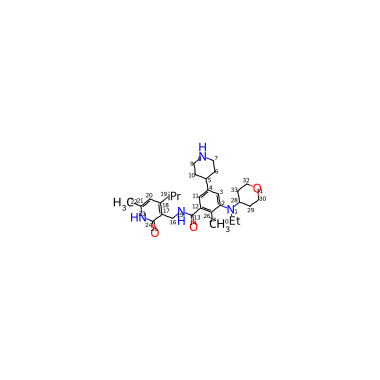 CCN(c1cc(C2CCNCC2)cc(C(=O)NCc2c(C(C)C)cc(C)[nH]c2=O)c1C)C1CCOCC1